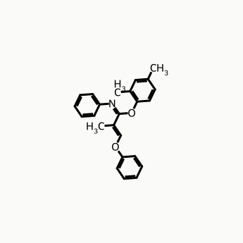 CC(=C\Oc1ccccc1)/C(=N\c1ccccc1)Oc1ccc(C)cc1C